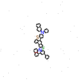 Fc1cc(-c2ccccc2)cc(-c2ccccc2)c1N(c1ccccc1)c1ccc2cc3c4c(cccc4c2c1)Sc1cc(N(c2ccccc2)c2ccc4ccccc4c2)ccc1-3